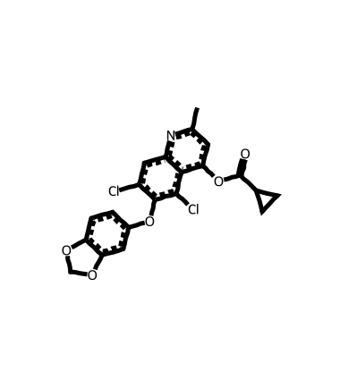 Cc1cc(OC(=O)C2CC2)c2c(Cl)c(Oc3ccc4c(c3)OCO4)c(Cl)cc2n1